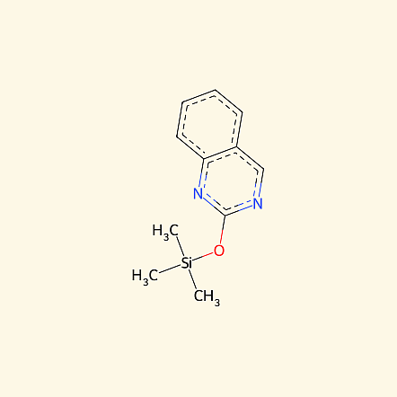 C[Si](C)(C)Oc1ncc2ccccc2n1